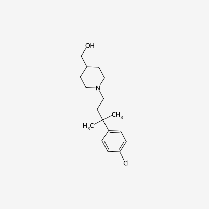 CC(C)(CCN1CCC(CO)CC1)c1ccc(Cl)cc1